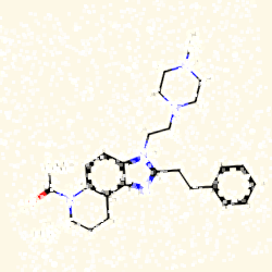 COC(=O)N1c2ccc3c(nc(CCc4ccccc4)n3CCN3CCN(C(C)=O)CC3)c2CC[C@@H]1C